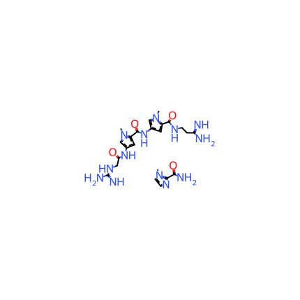 Cn1cc(NC(=O)c2cc(NC(=O)CNC(=N)N)cn2C)cc1C(=O)NCCC(=N)N.Cn1ccnc1C(N)=O